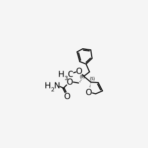 CO[C@@](COC(N)=O)(Cc1ccccc1)[C@@H]1C=CCO1